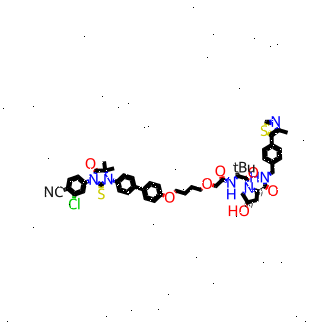 Cc1ncsc1-c1ccc(CNC(=O)[C@@H]2C[C@@H](O)CN2C(=O)C(NC(=O)COCCCCOc2ccc(-c3ccc(N4C(=S)N(c5ccc(C#N)c(Cl)c5)C(=O)C4(C)C)cc3)cc2)C(C)(C)C)cc1